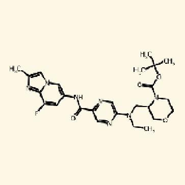 CCN(C[C@@H]1COCCN1C(=O)OC(C)(C)C)c1cnc(C(=O)Nc2cc(F)c3nc(C)cn3c2)cn1